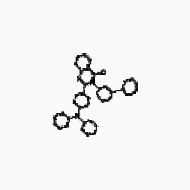 O=c1c2ccccc2nc(-c2ccc(N(c3ccccc3)c3ccccc3)cc2)n1-c1cccc(-c2ccccc2)c1